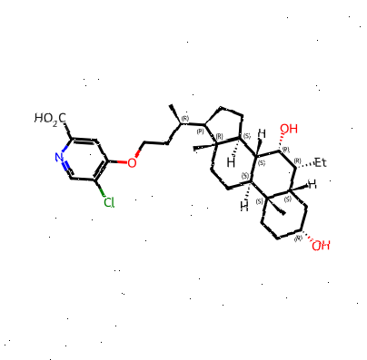 CC[C@H]1[C@@H](O)[C@@H]2[C@H](CC[C@]3(C)[C@@H]([C@H](C)CCOc4cc(C(=O)O)ncc4Cl)CC[C@@H]23)[C@@]2(C)CC[C@@H](O)C[C@@H]12